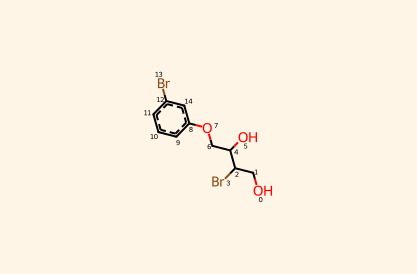 OCC(Br)C(O)COc1cccc(Br)c1